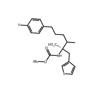 CC(CCCc1ccc(F)cc1)[C@@](Cc1ccsc1)(NC(=O)OC(C)(C)C)C(=O)O